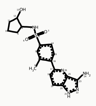 Cc1cc(S(=O)(=O)NC2CCCC2O)ccc1-c1ccc2[nH]nc(N)c2n1